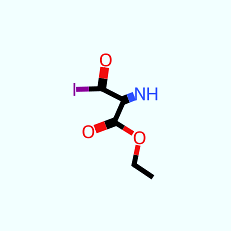 CCOC(=O)C(=N)C(=O)I